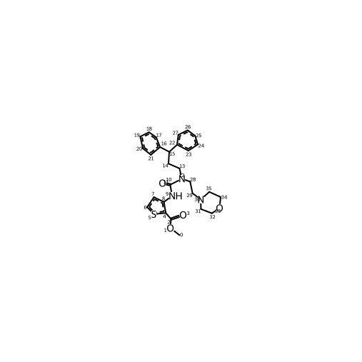 COC(=O)c1sccc1NC(=O)N(CCC(c1ccccc1)c1ccccc1)CCN1CCOCC1